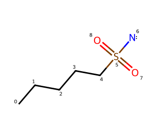 CCCCCS([N])(=O)=O